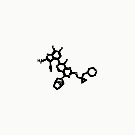 N#Cc1c(N)sc2c(F)c(F)cc(-c3ncc4c(N5CC6CCC(C5)N6)nc(OCC5(CN6CCSCC6)CC5)nc4c3F)c12